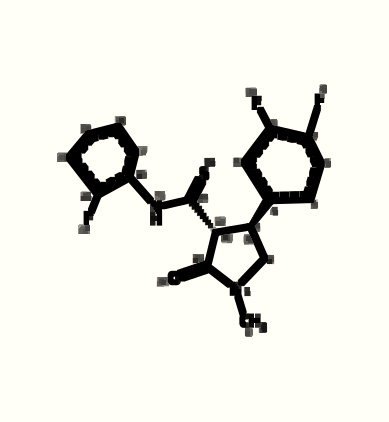 CN1C[C@H](c2ccc(F)c(F)c2)[C@@H](C(=S)Nc2ccccc2F)C1=O